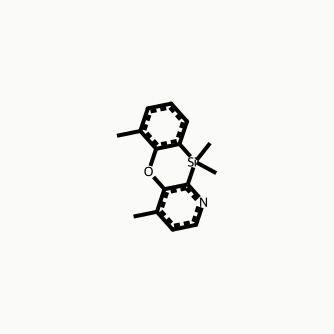 Cc1cccc2c1Oc1c(C)ccnc1[Si]2(C)C